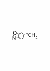 C=Cc1ccc2ncoc2c1